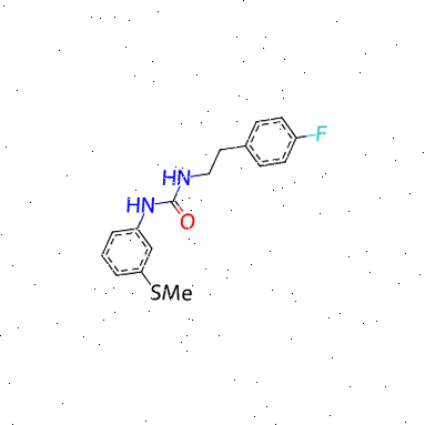 CSc1cccc(NC(=O)NCCc2ccc(F)cc2)c1